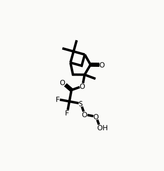 CC1(OC(=O)C(F)(F)SOOO)CC2CC(C1=O)C2(C)C